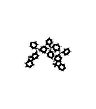 CC1(C)c2ccccc2-c2cc(N(c3ccccc3)c3cccc([Si](c4ccccc4)(c4ccccc4)c4ccc(N(c5ccccc5)c5ccc6c(c5)sc5ccccc56)cc4)c3)ccc21